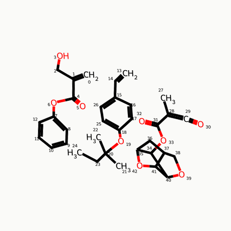 C=C(CO)C(=O)Oc1ccccc1.C=Cc1ccc(OC(C)(C)CC)cc1.CC(=C=O)C(=O)OC1C2CC3COC1C3O2